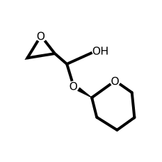 OC(O[C@@H]1CCCCO1)C1CO1